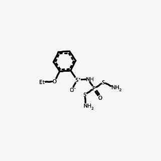 CCOc1ccccc1[S+]([O-])NP(=O)(SN)SN